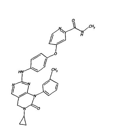 CNC(=O)c1cc(Oc2ccc(Nc3ncc4c(n3)N(c3cccc(C)c3)C(=O)N(C3CC3)C4)cc2)ccn1